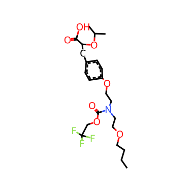 CCCCOCCN(CCOc1ccc(CC(OC(C)C)C(=O)O)cc1)C(=O)OCC(F)(F)F